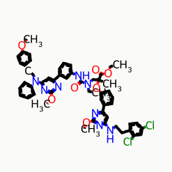 CCOC(=O)C(C)(CN(CC)C(=O)Nc1cccc(-c2cc(N(CCc3ccc(OC)cc3)c3ccccc3)nc(OC)n2)c1)Oc1cccc(-c2cc(NCCc3ccc(Cl)cc3Cl)nc(OC)n2)c1